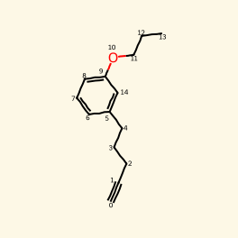 C#CCCCc1cccc(OCCC)c1